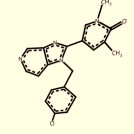 Cc1cc(-c2nc3cnccc3n2Cc2ccc(Cl)cc2)cn(C)c1=O